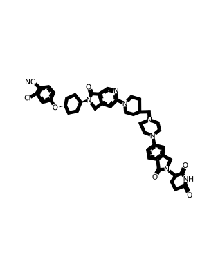 N#Cc1ccc(O[C@H]2CC[C@H](N3Cc4cc(N5CCC(CN6CCN(c7ccc8c(c7)CN(C7CCC(=O)NC7=O)C8=O)CC6)CC5)ncc4C3=O)CC2)cc1Cl